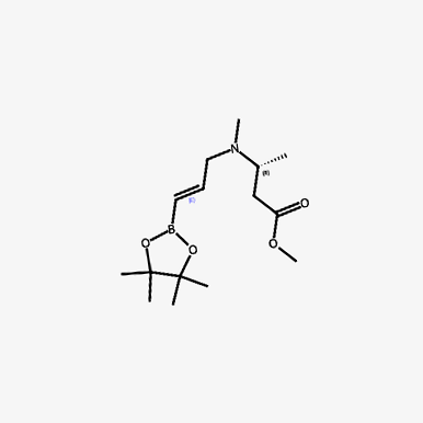 COC(=O)C[C@@H](C)N(C)C/C=C/B1OC(C)(C)C(C)(C)O1